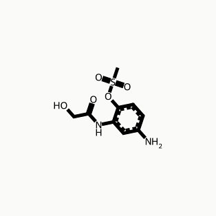 CS(=O)(=O)Oc1ccc(N)cc1NC(=O)CO